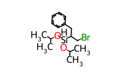 CC(C)O[SiH](OC(C)C)C(CBr)Cc1ccccc1